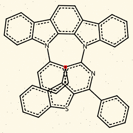 c1ccc(-c2nc(-n3c4ccccc4c4ccc5c6ccccc6n(-c6ccccc6)c5c43)cc3c2sc2ccccc23)cc1